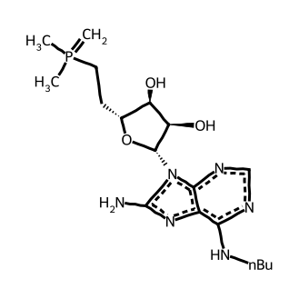 C=P(C)(C)CC[C@H]1O[C@@H](n2c(N)nc3c(NCCCC)ncnc32)[C@H](O)[C@@H]1O